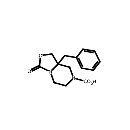 O=C(O)N1CCN2C(=O)OCC2(Cc2ccccc2)C1